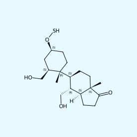 C[C@]1([C@H]2CC[C@]3(C)C(=O)CC[C@H]3[C@@H]2CO)CC[C@H](OS)C[C@@H]1CO